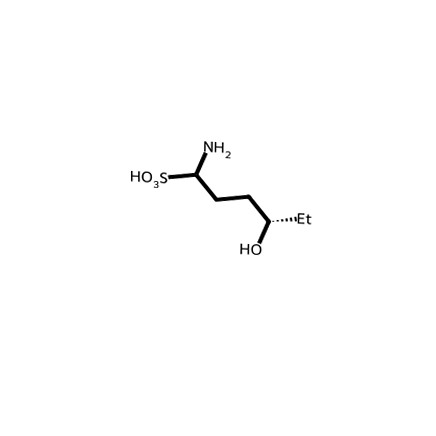 CC[C@H](O)CCC(N)S(=O)(=O)O